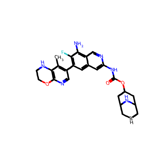 Cc1c(-c2cc3cc(NC(=O)OC4CC5CBCC(C4)N5)ncc3c(N)c2F)cnc2c1NCCO2